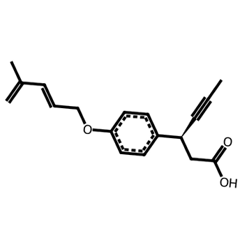 C=C(C)/C=C/COc1ccc([C@@H](C#CC)CC(=O)O)cc1